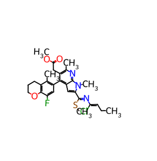 CC/C=C(Cl)/N=C(\SC)c1cc2c(-c3cc(F)c4c(c3C)CCCO4)c(CC(=O)OC)c(C)nc2n1C